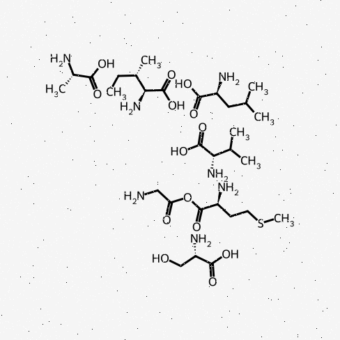 CC(C)C[C@H](N)C(=O)O.CC(C)[C@H](N)C(=O)O.CC[C@H](C)[C@H](N)C(=O)O.CSCC[C@H](N)C(=O)OC(=O)CN.C[C@H](N)C(=O)O.N[C@@H](CO)C(=O)O